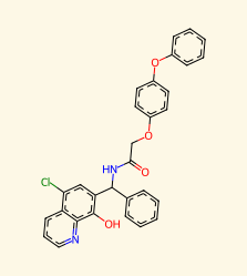 O=C(COc1ccc(Oc2ccccc2)cc1)NC(c1ccccc1)c1cc(Cl)c2cccnc2c1O